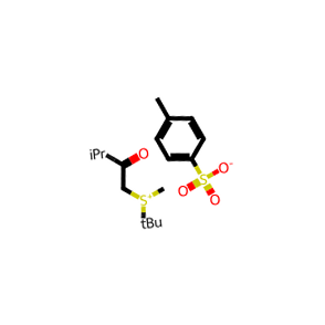 CC(C)C(=O)C[S+](C)C(C)(C)C.Cc1ccc(S(=O)(=O)[O-])cc1